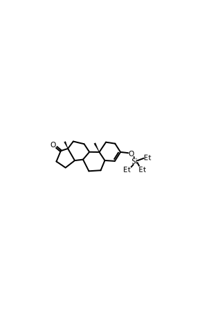 CC[Si](CC)(CC)OC1=CC2CCC3C(CC[C@@]4(C)C(=O)CCC34)[C@]2(C)CC1